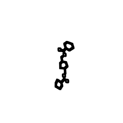 O=C(OCC1CCC(COC(=O)C2CCCCC2)CC1)C1CCCCC1